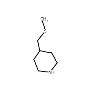 CSCC1CCNCC1